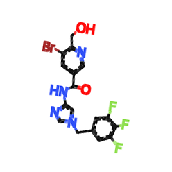 O=C(Nc1cn(Cc2cc(F)c(F)c(F)c2)cn1)c1cnc(CO)c(Br)c1